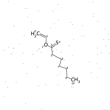 C=COC(=S)CCCCCC